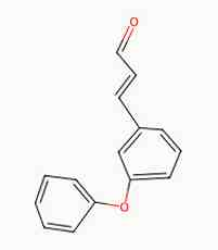 O=CC=Cc1cccc(Oc2ccccc2)c1